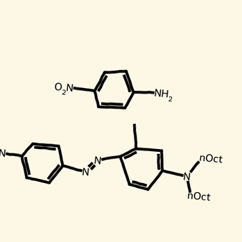 CCCCCCCCN(CCCCCCCC)c1ccc(/N=N/c2ccc([N+](=O)[O-])cc2)c(C)c1.Nc1ccc([N+](=O)[O-])cc1